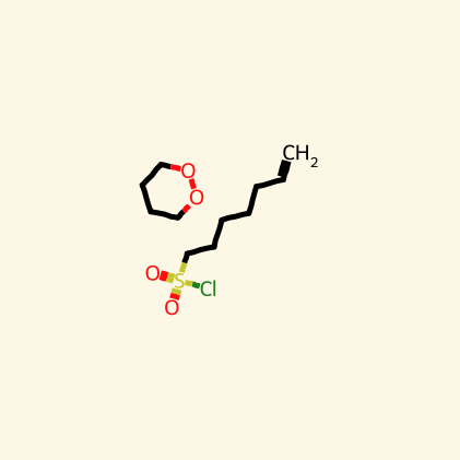 C1CCOOC1.C=CCCCCCS(=O)(=O)Cl